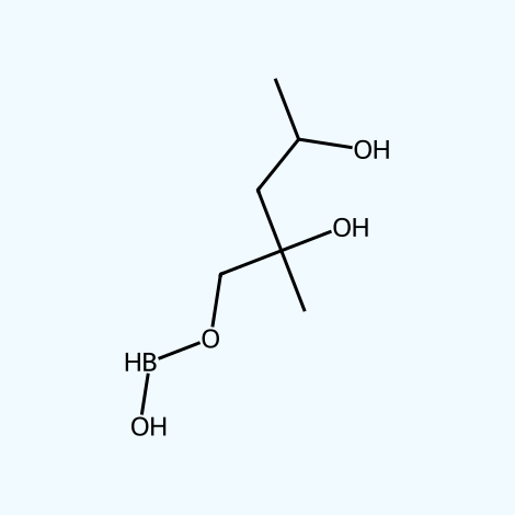 CC(O)CC(C)(O)COBO